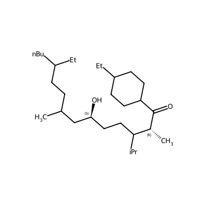 CCCCC(CC)CCC(C)C[C@@H](O)CCC(C(C)C)[C@@H](C)C(=O)C1CCC(CC)CC1